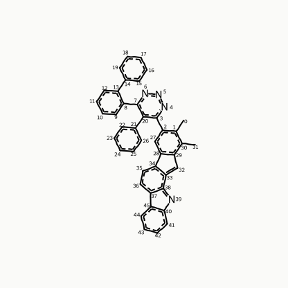 Cc1c(-c2nnnc(-c3ccccc3-c3ccccc3)c2-c2ccccc2)cc2c(c1C)C=c1c-2ccc2c1=Nc1ccccc1-2